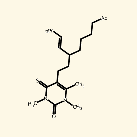 CCC/C=C/C(CCCCC(C)=O)CCc1c(C)n(C)c(=O)n(C)c1=S